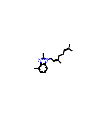 CC(C)=CCCC(C)=CCn1c(C)nc2c(C)cccc21